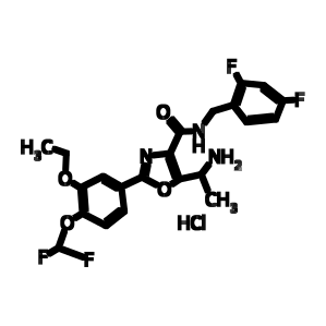 CCOc1cc(-c2nc(C(=O)NCc3ccc(F)cc3F)c(C(C)N)o2)ccc1OC(F)F.Cl